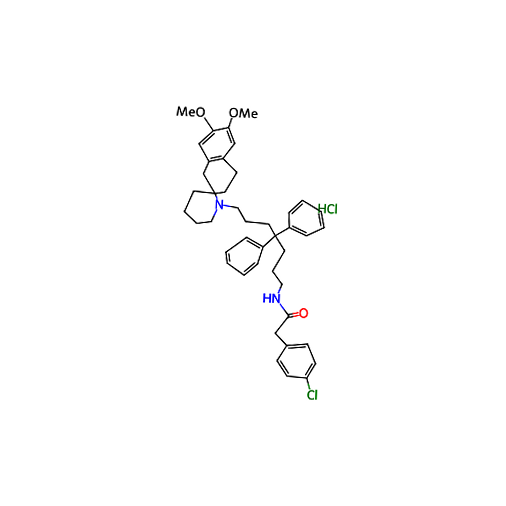 COc1cc2c(cc1OC)CC1(CCCCN1CCCC(CCCNC(=O)Cc1ccc(Cl)cc1)(c1ccccc1)c1ccccc1)CC2.Cl